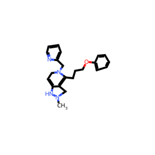 CN1CC2=C(CCCOc3ccccc3)N(Cc3ccccn3)CC=C2N1